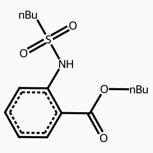 CCCCOC(=O)c1ccccc1NS(=O)(=O)CCCC